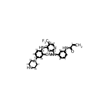 C=CC(=O)Nc1cccc(Nc2ncc(C(F)(F)F)c(Nc3ccc(N4CCNCC4)cc3OC)n2)c1